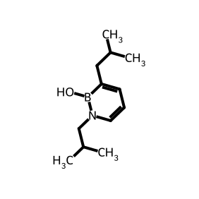 CC(C)CC1=CC=CN(CC(C)C)B1O